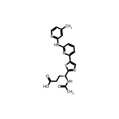 CC(=O)N[C@@H](CCC(=O)O)c1ncc(-c2cccc(Nc3cc(C)ccn3)n2)s1